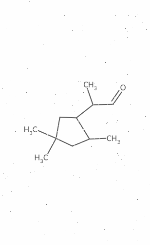 CC(C=O)C1CC(C)(C)CC1C